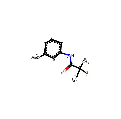 COc1cccc(NC(=O)C(C)(C)S)c1